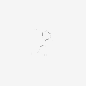 CSc1ncc(Br)c(/N=C/N(C)C)n1